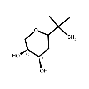 BC(C)(C)C1C[C@@H](O)[C@@H](O)CO1